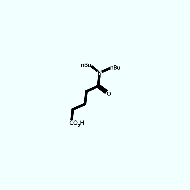 CCCCN(CCCC)C(=O)CCCC(=O)O